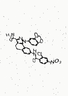 NC(=O)c1nn(-c2ccc3c(c2)OCO3)c2c1CCc1ccc(NC(=O)c3ccc([N+](=O)[O-])cc3Cl)cc1-2